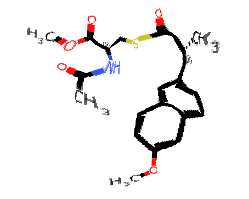 COC(=O)[C@@H](CSC(=O)[C@H](C)c1ccc2cc(OC)ccc2c1)NC(C)=O